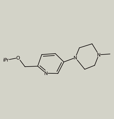 CC(C)OCc1ccc(N2CCN(C)CC2)cn1